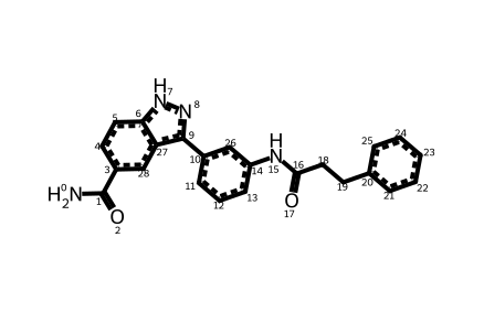 NC(=O)c1ccc2[nH]nc(-c3cccc(NC(=O)CCc4ccccc4)c3)c2c1